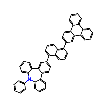 c1ccc(N2c3ccccc3-c3ccc(-c4cccc5c(-c6ccc7c8ccccc8c8ccccc8c7c6)cccc45)cc3-c3ccccc32)cc1